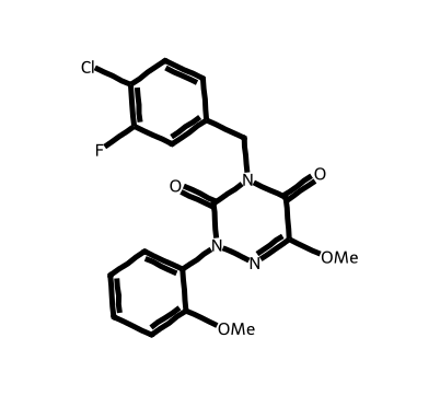 COc1ccccc1-n1nc(OC)c(=O)n(Cc2ccc(Cl)c(F)c2)c1=O